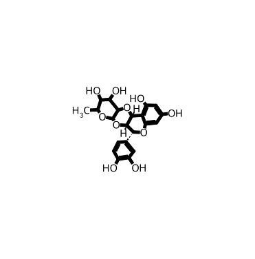 CC1OC2O[C@@H]3[C@@H](c4ccc(O)c(O)c4)Oc4cc(O)cc(O)c4[C@@H]3OC2C(O)C1O